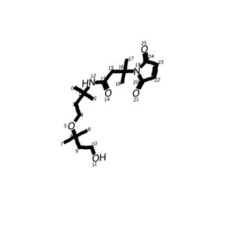 CC(C)(CCOC(C)(C)CCO)NC(=O)CC(C)(C)N1C(=O)C=CC1=O